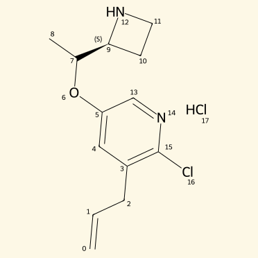 C=CCc1cc(OC(C)[C@@H]2CCN2)cnc1Cl.Cl